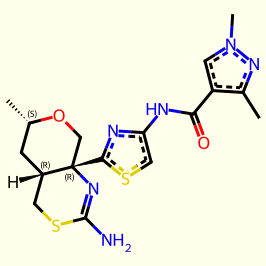 Cc1nn(C)cc1C(=O)Nc1csc([C@]23CO[C@@H](C)C[C@H]2CSC(N)=N3)n1